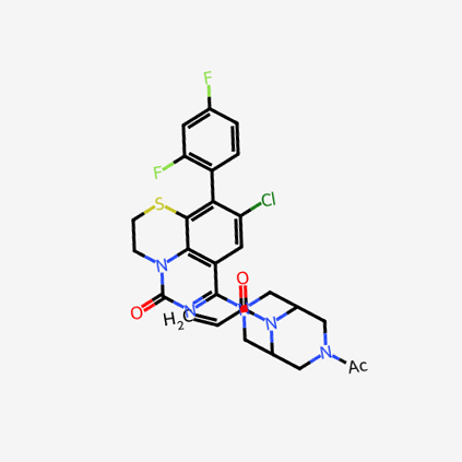 C=CC(=O)N1C2CN(C(C)=O)CC1CN(c1nc(=O)n3c4c(c(-c5ccc(F)cc5F)c(Cl)cc14)SCC3)C2